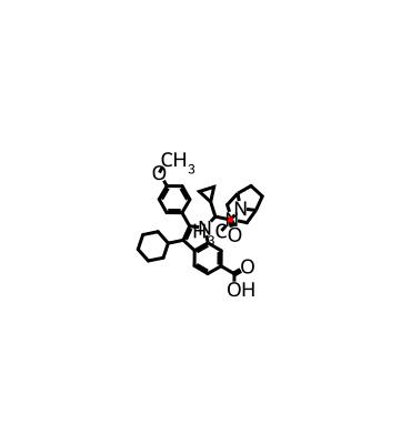 COc1ccc(-c2c(C3CCCCC3)c3ccc(C(=O)O)cc3n2C(C(=O)N2C3CCC2CN(C)C3)C2CC2)cc1